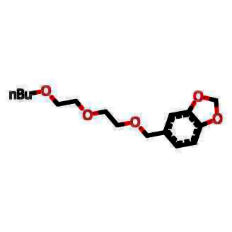 CCCCOCCOCCOCc1ccc2c(c1)OCO2